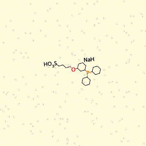 O=S(=O)(O)CCCCOC1CCCC(P(C2CCCCC2)C2CCCCC2)C1.[NaH]